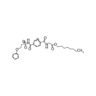 CCCCCCCCOC(=O)CNC(=O)c1ccc(C(=O)NS(=O)(=O)CCOc2ccccc2)cn1